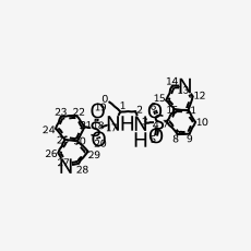 CC(CNS(=O)(=O)c1cccc2cnccc12)NS(=O)(=O)c1cccc2cnccc12